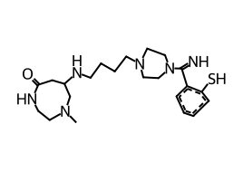 CN1CCNC(=O)CC(NCCCCN2CCN(C(=N)c3ccccc3S)CC2)C1